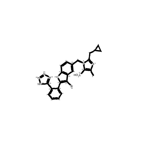 Cc1nc(CC2CC2)n(Cc2ccc3oc(-c4ccccc4-c4nnn[nH]4)c(Br)c3c2)c1C(=O)O